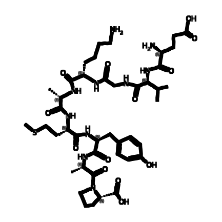 CSCC[C@H](NC(=O)[C@H](C)NC(=O)[C@H](CCCCN)NC(=O)CNC(=O)[C@@H](NC(=O)[C@@H](N)CCC(=O)O)C(C)C)C(=O)N[C@@H](Cc1ccc(O)cc1)C(=O)N[C@@H](C)C(=O)N1CCC[C@H]1C(=O)O